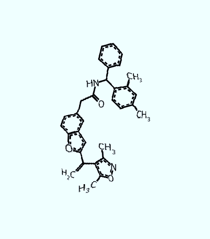 C=C(c1cc2cc(CC(=O)NC(c3ccccc3)c3ccc(C)cc3C)ccc2o1)c1c(C)noc1C